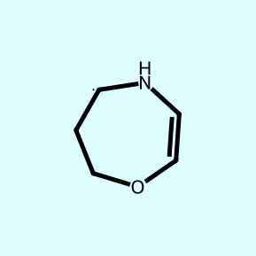 [CH]1CCOC=CN1